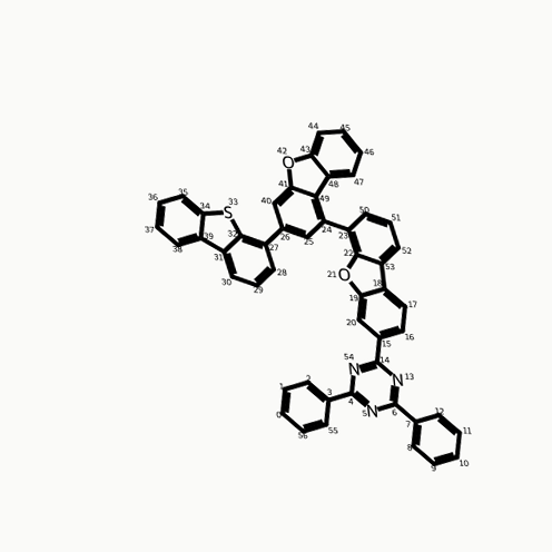 c1ccc(-c2nc(-c3ccccc3)nc(-c3ccc4c(c3)oc3c(-c5cc(-c6cccc7c6sc6ccccc67)cc6oc7ccccc7c56)cccc34)n2)cc1